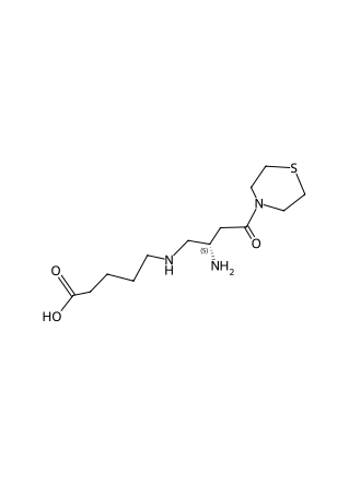 N[C@H](CNCCCCC(=O)O)CC(=O)N1CCSCC1